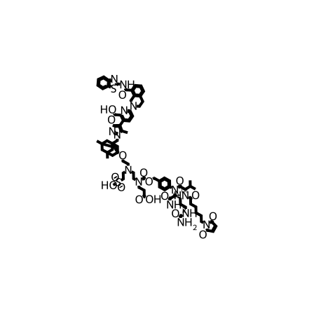 Cc1c(-c2ccc(N3CCc4cccc(C(=O)Nc5nc6ccccc6s5)c4C3)nc2C(=O)O)cnn1CC12CC3(C)CC(C)(C1)CC(OCCN(CCN(CCC(=O)O)C(=O)OCc1ccc(N(C(=O)[C@@H](NC(=O)CCCCCN4C(=O)C=CC4=O)C(C)C)[C@@H](CCCNC(N)=O)C(N)=O)cc1)CCS(=O)(=O)O)(C3)C2